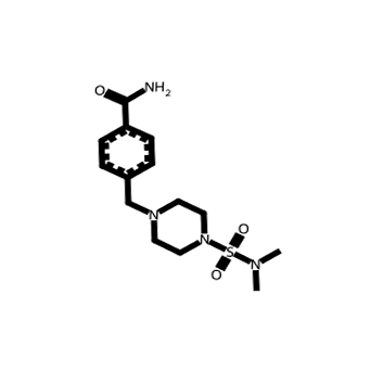 CN(C)S(=O)(=O)N1CCN(Cc2ccc(C(N)=O)cc2)CC1